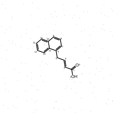 O=C(O)/C=C/Cc1cccc2ccccc12